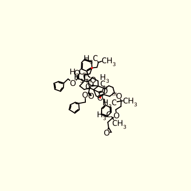 CC(C)CCC[C@@H](C)C1(C(=O)OCc2ccccc2)CCC2(C(=O)OCc3ccccc3)C3(C(=O)OCc4ccccc4)CC=C4C[C@@H](OC(C)(C)CCOC(C)(C)CC5CO5)CC[C@]4(C)C3(C(=O)OCc3ccccc3)CC[C@]12C